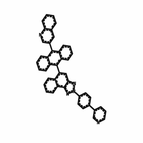 c1cncc(-c2ccc(-n3nc4cc(-c5c6ccccc6c(-c6cnc7ccccc7c6)c6ccccc56)c5ccccc5c4n3)cc2)c1